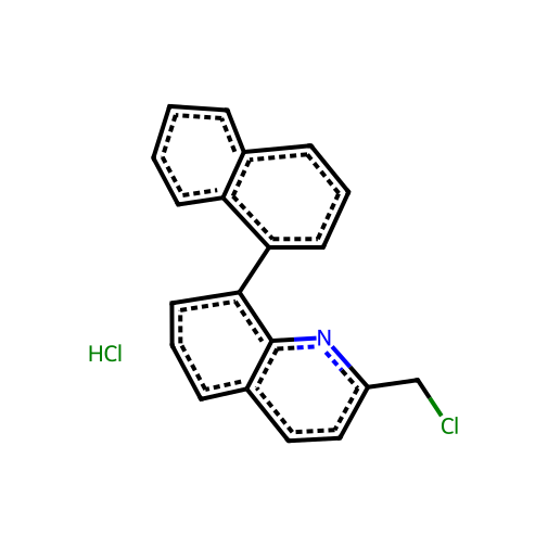 Cl.ClCc1ccc2cccc(-c3cccc4ccccc34)c2n1